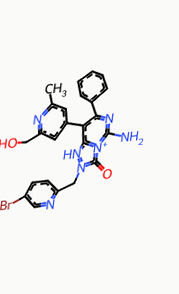 Cc1cc(-c2c(-c3ccccc3)nc(N)[n+]3c(=O)n(Cc4ccc(Br)cn4)[nH]c23)cc(CO)n1